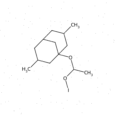 CC1CC2CC(C)CC(OC(C)OI)(C1)C2